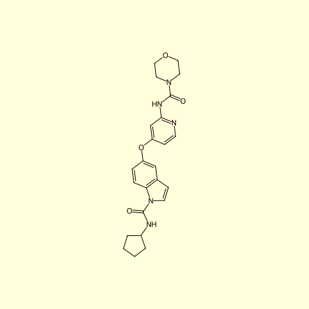 O=C(Nc1cc(Oc2ccc3c(ccn3C(=O)NC3CCCC3)c2)ccn1)N1CCOCC1